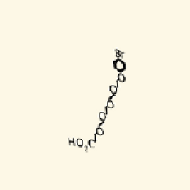 O=C(O)CCOCCOCCOCCOCCOc1ccc(Br)cc1